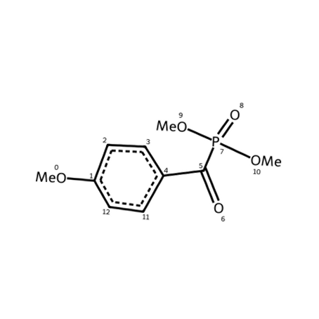 COc1ccc(C(=O)P(=O)(OC)OC)cc1